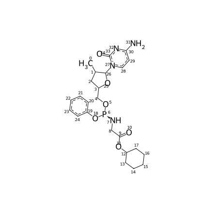 CC1CC(CO[P@@](NCC(=O)OC2CCCCC2)Oc2ccccc2)OC1n1ccc(N)nc1=O